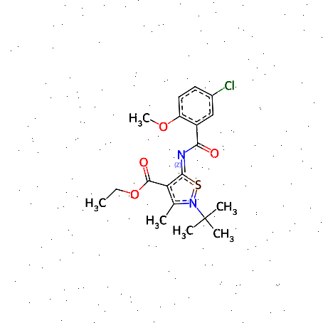 CCOC(=O)c1c(C)n(C(C)(C)C)s/c1=N\C(=O)c1cc(Cl)ccc1OC